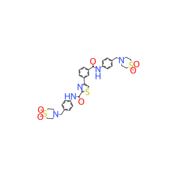 O=C(Nc1ccc(CN2CCS(=O)(=O)CC2)cc1)c1cccc(-c2csc(C(=O)Nc3ccc(CN4CCS(=O)(=O)CC4)cc3)n2)c1